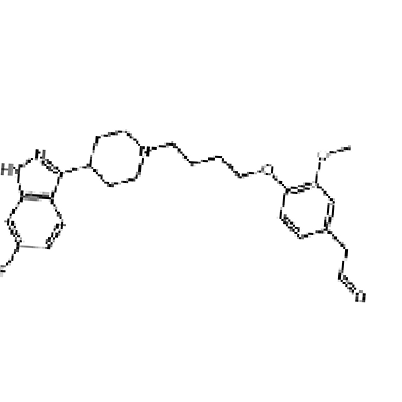 COc1cc(CC=O)ccc1OCCCCN1CCC(c2n[nH]c3cc(F)ccc23)CC1